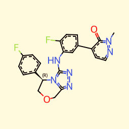 Cn1nccc(-c2ccc(F)c(Nc3nnc4n3[C@H](c3ccc(F)cc3)COC4)c2)c1=O